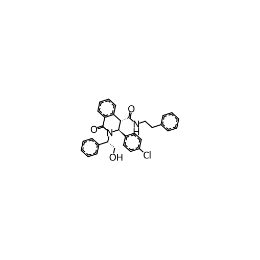 O=C(NCCc1ccccc1)[C@H]1c2ccccc2C(=O)N([C@H](CO)c2ccccc2)[C@@H]1c1ccc(Cl)cc1